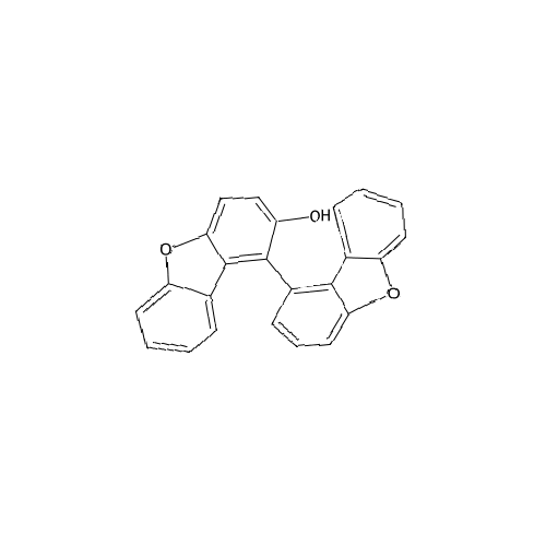 Oc1ccc2oc3ccccc3c2c1-c1cccc2oc3ccccc3c12